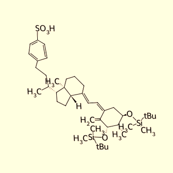 C=C1/C(=C\C=C2/CCC[C@]3(C)[C@@H](C(C)CCc4ccc(S(=O)(=O)O)cc4)CC[C@@H]23)C[C@@H](O[Si](C)(C)C(C)(C)C)[C@H](C)[C@@H]1O[Si](C)(C)C(C)(C)C